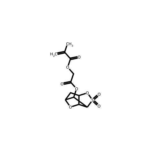 C=C(C)C(=O)OCC(=O)OC1C2CC3OS(=O)(=O)C1C3O2